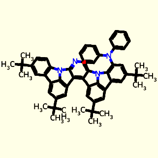 CC(C)(C)c1ccc2c(c1)c1cc(C(C)(C)C)cc3c4c5c6cc(C(C)(C)C)cc7c8cc(C(C)(C)C)cc(N(c9ccccc9)c9ccccc9)c8n(c5cnc4n2c13)c76